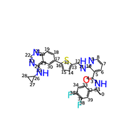 C[C@H](NC(=O)c1cccnc1NCc1ccc(-c2ccc3ncnc(NC4CC4)c3c2)s1)c1ccc(F)c(F)c1